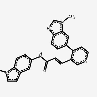 Cn1ccc2cc(NC(=O)/C=C/c3cnccc3-c3ccc4ncn(C)c4c3)ccc21